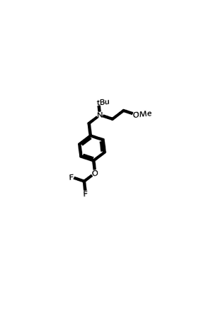 COCCN(Cc1ccc(OC(F)F)cc1)C(C)(C)C